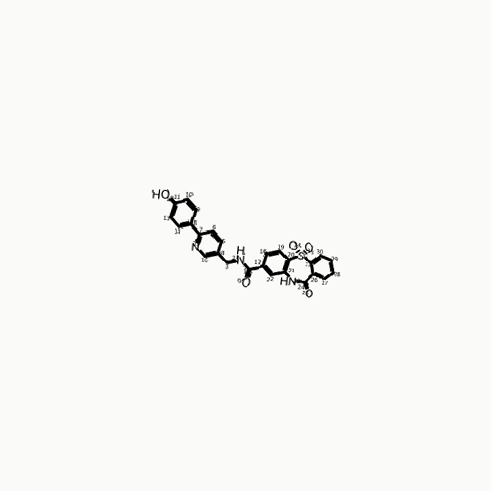 O=C(NCc1ccc(-c2ccc(O)cc2)nc1)c1ccc2c(c1)NC(=O)c1ccccc1S2(=O)=O